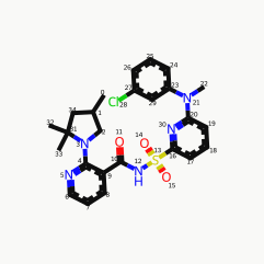 CC1CN(c2ncccc2C(=O)NS(=O)(=O)c2cccc(N(C)c3cccc(Cl)c3)n2)C(C)(C)C1